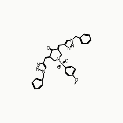 COc1ccc(S(=O)(=O)N2CC(=Cc3cn(Cc4ccccc4)nn3)C(=O)C(=Cc3cn(Cc4ccccc4)nn3)C2)cc1